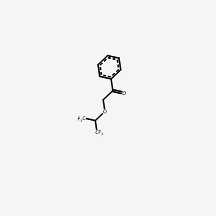 O=C(COC(C(F)(F)F)C(F)(F)F)c1ccccc1